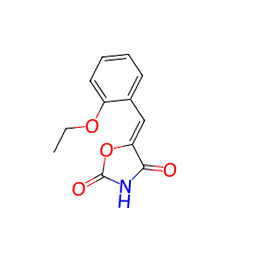 CCOc1ccccc1C=C1OC(=O)NC1=O